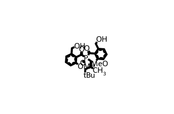 COc1cccc(CO)c1C(=O)P(=O)(CC(C)CC(C)(C)C)C(=O)c1c(CO)cccc1OC